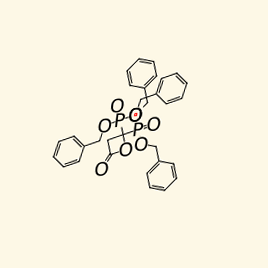 O=C1CC(P(=O)(OCc2ccccc2)OCc2ccccc2)(P(=O)(OCc2ccccc2)OCc2ccccc2)O1